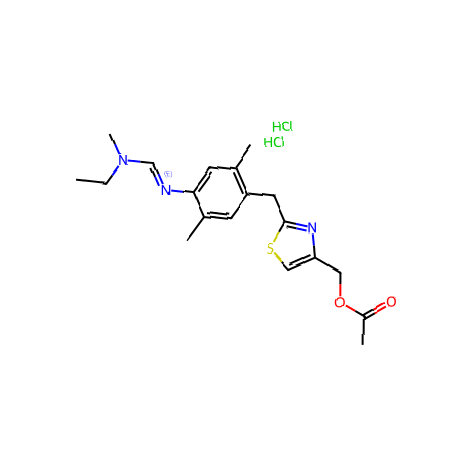 CCN(C)/C=N/c1cc(C)c(Cc2nc(COC(C)=O)cs2)cc1C.Cl.Cl